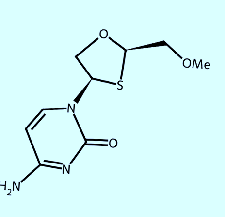 COC[C@@H]1OC[C@H](n2ccc(N)nc2=O)S1